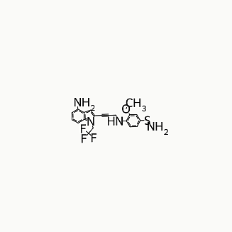 COc1cc(SN)ccc1NCC#Cc1cc2c(N)cccc2n1CC(F)(F)F